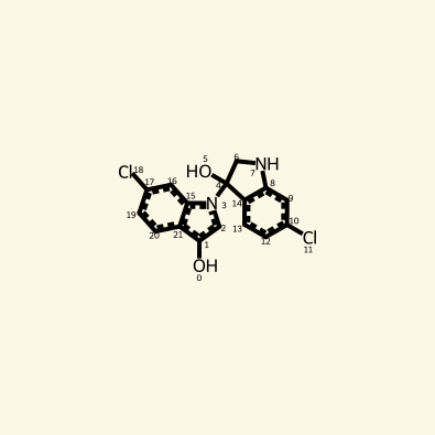 Oc1cn(C2(O)CNc3cc(Cl)ccc32)c2cc(Cl)ccc12